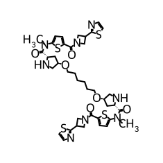 CN(C(=O)[C@@H]1C[C@@H](OCCCCCCO[C@H]2CN[C@H](C(=O)N(C)c3ccc(C(=O)N4CC(c5nccs5)C4)s3)C2)CN1)c1ccc(C(=O)N2CC(c3nccs3)C2)s1